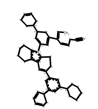 C/C=C(\C=C/CC#N)C1=CC(n2c3c(c4c2CCCC4)C=C(c2cc(C4C=CC=CC4)cc(C4CCCCC4)c2)CC3)=CC(C2CC=CCC2)C1